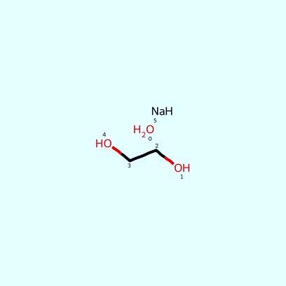 O.OCCO.[NaH]